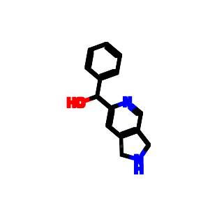 OC(c1ccccc1)c1cc2c(cn1)CNC2